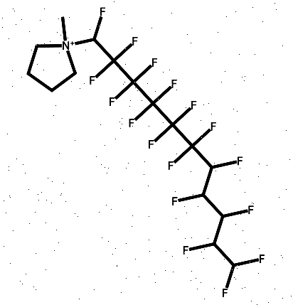 C[N+]1(C(F)C(F)(F)C(F)(F)C(F)(F)C(F)(F)C(F)(F)C(F)C(F)C(F)C(F)C(F)F)CCCC1